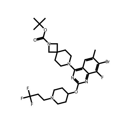 Cc1cc2c(N3CCC4(CC3)CN(C(=O)OC(C)(C)C)C4)nc(OC3CCN(CCC(F)(F)F)CC3)nc2c(F)c1Br